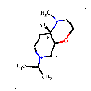 CC(C)N1CC[C@H]2C(C1)OCCN2C